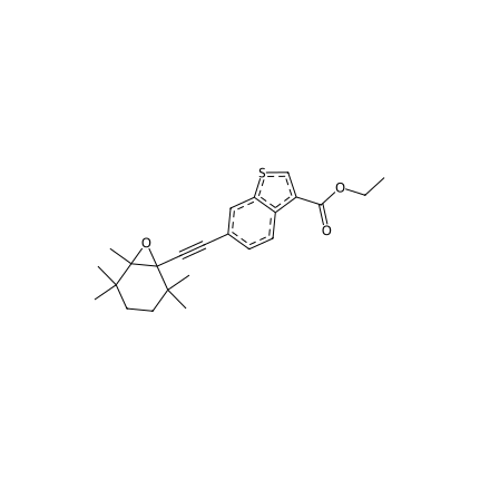 CCOC(=O)c1csc2cc(C#CC34OC3(C)C(C)(C)CCC4(C)C)ccc12